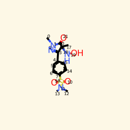 CN1N=C(c2ccc(S(=O)(=O)N(C)C)cc2)C(C)(NO)C1=O